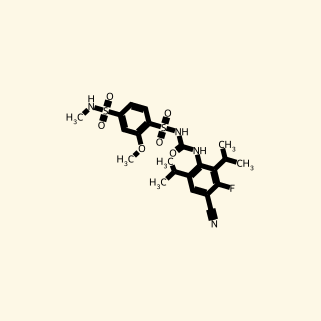 CNS(=O)(=O)c1ccc(S(=O)(=O)NC(=O)Nc2c(C(C)C)cc(C#N)c(F)c2C(C)C)c(OC)c1